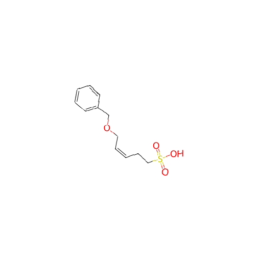 O=S(=O)(O)CC/C=C\COCc1ccccc1